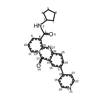 O=C(NC1CCCC1)c1cccn2c(=O)c3cc(-c4ccncc4)ccc3nc12